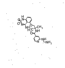 CC(C)(COc1cccc2c1C(N)=NS(=O)(=O)N2)NC(=O)c1ccnc(NCN)c1